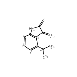 C=C1C(=O)Nc2ccnc(N(C)C)c21